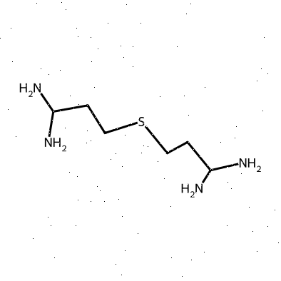 NC(N)CCSCCC(N)N